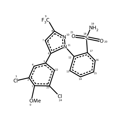 COc1c(Cl)cc(-c2cc(C(F)(F)F)nn2-c2ccccc2S(N)(=O)=O)cc1Cl